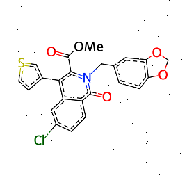 COC(=O)c1c(-c2ccsc2)c2cc(Cl)ccc2c(=O)n1Cc1ccc2c(c1)OCO2